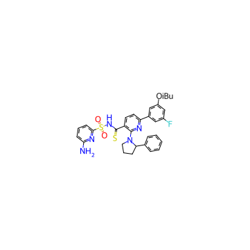 CC(C)COc1cc(F)cc(-c2ccc(C(=S)NS(=O)(=O)c3cccc(N)n3)c(N3CCCC3c3ccccc3)n2)c1